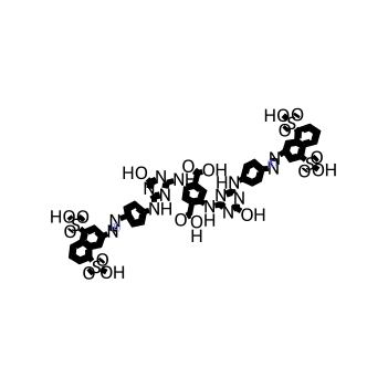 O=C(O)c1cc(Nc2nc(O)nc(Nc3ccc(/N=N/c4cc(S(=O)(=O)O)c5cccc(S(=O)(=O)O)c5c4)cc3)n2)c(C(=O)O)cc1Nc1nc(O)nc(Nc2ccc(/N=N/c3cc(S(=O)(=O)O)c4cccc(S(=O)(=O)O)c4c3)cc2)n1